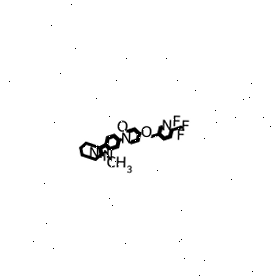 Cn1c2c(c3ccc(-n4ccc(OCc5ccc(C(F)(F)F)nc5)cc4=O)cc31)C1CCCC(C2)N1